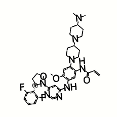 C=CC(=O)Nc1cc(Nc2cc(N3OCC[C@H]3c3c(F)cccc3F)ncn2)c(OC)cc1N1CCC(N2CCC(N(C)C)CC2)CC1